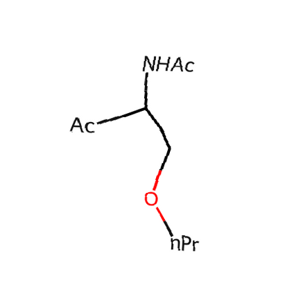 CCCOCC(NC(C)=O)C(C)=O